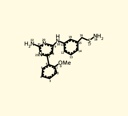 COc1ccccc1-c1cc(Nc2cccc(CSN)c2)nc(N)n1